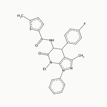 CCN1C(=O)C(NC(=O)c2ccc(C)s2)C(c2ccc(F)cc2)c2c(C)nn(-c3ccccc3)c21